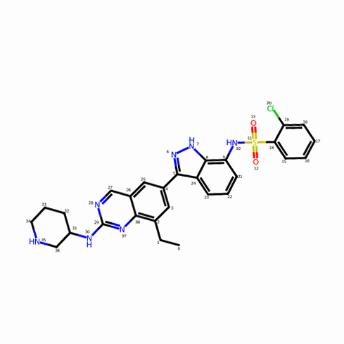 CCc1cc(-c2n[nH]c3c(NS(=O)(=O)c4ccccc4Cl)cccc23)cc2cnc(NC3CCCNC3)nc12